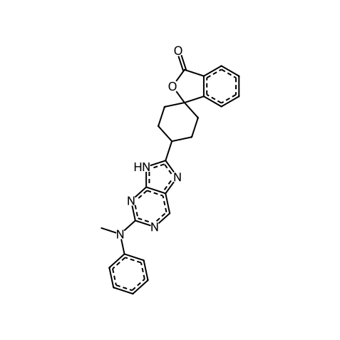 CN(c1ccccc1)c1ncc2nc(C3CCC4(CC3)OC(=O)c3ccccc34)[nH]c2n1